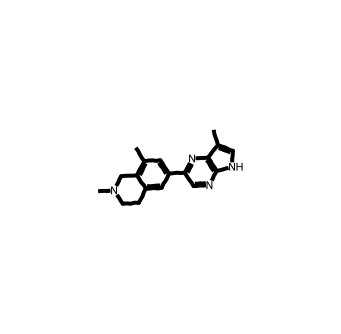 Cc1cc(-c2cnc3[nH]cc(C)c3n2)cc2c1CN(C)CC2